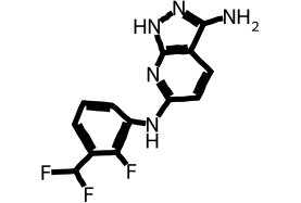 Nc1n[nH]c2nc(Nc3cccc(C(F)F)c3F)ccc12